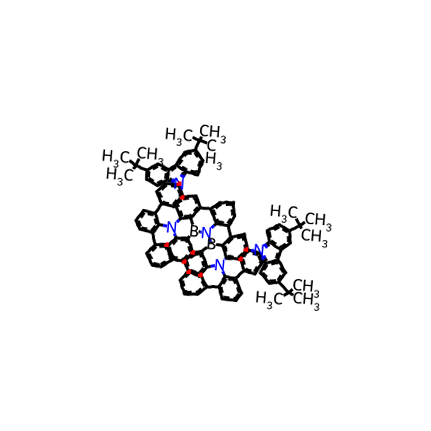 CC(C)(C)c1ccc2c(c1)c1cc(C(C)(C)C)ccc1n2-c1cc2c3c(c1)N(c1c(-c4ccccc4)cccc1-c1ccccc1)c1ccccc1B3N1B3c4ccccc4N(c4c(-c5ccccc5)cccc4-c4ccccc4)c4cc(-n5c6ccc(C(C)(C)C)cc6c6cc(C(C)(C)C)ccc65)cc(c43)-c3cccc-2c31